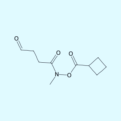 CN(OC(=O)C1CCC1)C(=O)CCC=O